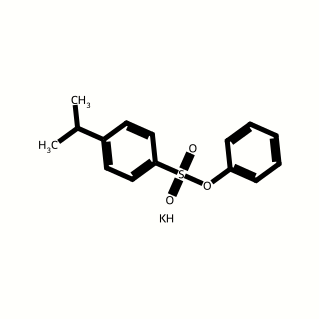 CC(C)c1ccc(S(=O)(=O)Oc2ccccc2)cc1.[KH]